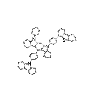 c1ccc(-n2c3ccccc3c3c(-c4ccc(-n5c6ccccc6c6ccccc65)cc4)c4c5ccccc5n(-c5ccc(-c6cccc7c6sc6ccccc67)cc5)c4cc32)cc1